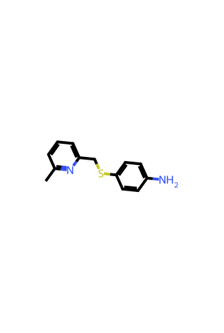 Cc1cccc(CSc2ccc(N)cc2)n1